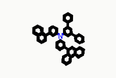 c1ccc(-c2cc(-c3ccccc3)cc(N(c3cccc(-c4cccc5ccccc45)c3)c3cccc(-c4cc5ccccc5c5ccccc45)c3)c2)cc1